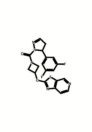 O=C(N1CC(Oc2nc3ccncc3s2)C1)N1N=CCC1c1cc(F)cc(F)c1